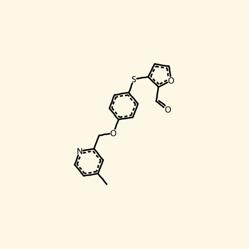 Cc1ccnc(COc2ccc(Sc3ccoc3C=O)cc2)c1